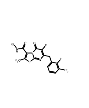 CCNC(=O)c1c(C(F)(F)F)sc2nc(Cc3cccc(C(F)(F)F)c3F)c(F)c(=O)n12